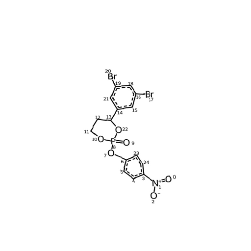 O=[N+]([O-])c1ccc(OP2(=O)OCCC(c3cc(Br)cc(Br)c3)O2)cc1